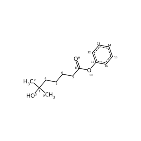 CC(C)(O)CCCCC(=O)Oc1ccccc1